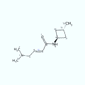 CN(C)C/C=C/C(=O)N[C@H]1C[C@H](C)C1